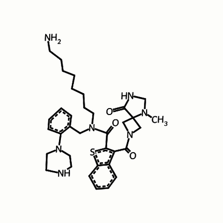 CN1CNC(=O)C12CN(C(=O)c1c(C(=O)N(CCCCCCCCN)Cc3ccccc3N3CCNCC3)sc3ccccc13)C2